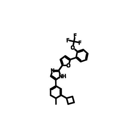 CC1CC=C(c2cnc(-c3ccc(-c4ccccc4OC(F)(F)F)o3)[nH]2)C=C1C1CCC1